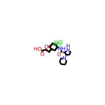 Cl.Cl.O=C(O)c1cc2cc(NC(=O)[C@@H]3NCC[C@H]3N3CCCCC3)ccc2o1